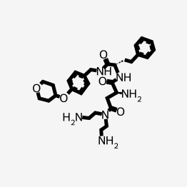 NCCN(CCN)C(=O)C[C@H](N)C(=O)N[C@@H](CCc1ccccc1)C(=O)NCc1ccc(OC2CCOCC2)cc1